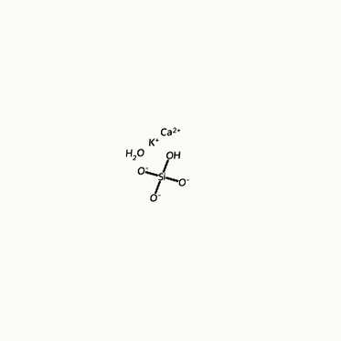 O.[Ca+2].[K+].[O-][Si]([O-])([O-])O